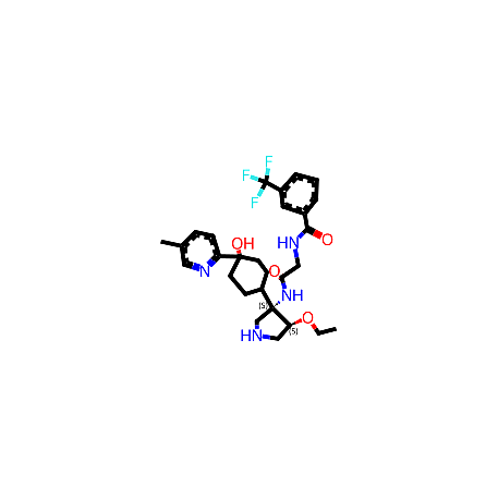 CCO[C@H]1CNC[C@@]1(NC(=O)CNC(=O)c1cccc(C(F)(F)F)c1)C1CCC(O)(c2ccc(C)cn2)CC1